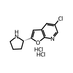 Cl.Cl.Clc1cnc2oc([C@@H]3CCCN3)cc2c1